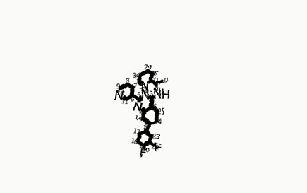 CC(Nc1nc(-c2cccnc2)nc2cc(-c3ccc(F)c(F)c3)ccc12)c1ccccn1